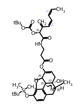 C=C(/C=C\C=C/C)[C@H](OC(=O)OC(C)(C)C)C(=O)NCCC(=O)OC1=CC[C@@]2(O)[C@H]3Cc4ccc(O[Si](C)(C)C(C)(C)C)c5c4[C@@]2(CCN3C)[C@H]1O5